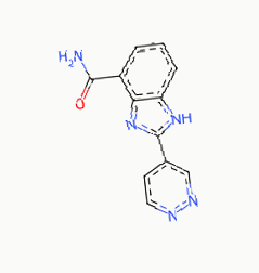 NC(=O)c1cccc2[nH]c(-c3ccnnc3)nc12